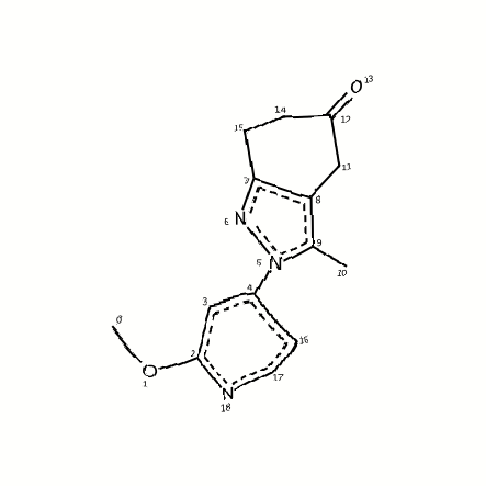 COc1cc(-n2nc3c(c2C)CC(=O)CC3)ccn1